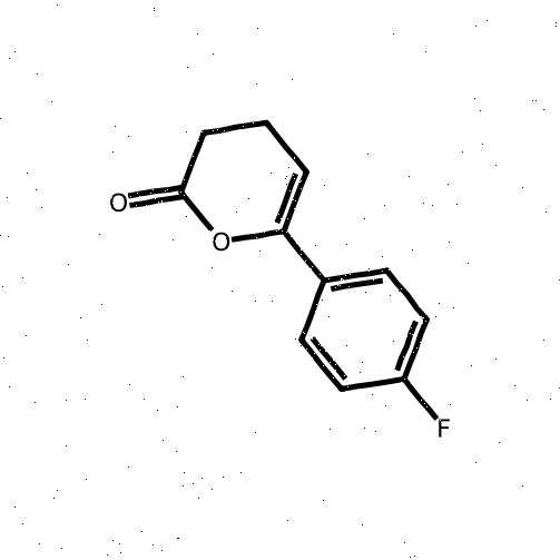 O=C1CCC=C(c2ccc(F)cc2)O1